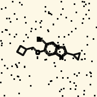 Brc1cn2cc(C3CC3)nc2cc1OCC1CCC1